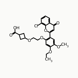 CCOc1cc(OCCOC2CC(C(=O)O)C2)c(-c2cc(=O)c3cccc(Cl)c3o2)cc1OC